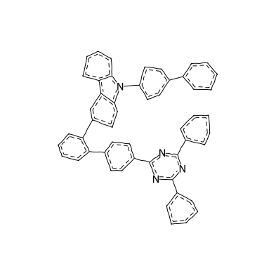 c1ccc(-c2ccc(-n3c4ccccc4c4cc(-c5ccccc5-c5ccc(-c6nc(-c7ccccc7)nc(-c7ccccc7)n6)cc5)ccc43)cc2)cc1